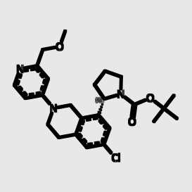 COCc1cc(N2CCc3cc(Cl)cc([C@@H]4CCCN4C(=O)OC(C)(C)C)c3C2)ccn1